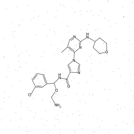 Cc1cnc(NC2CCOCC2)nc1-n1cnc(C(=O)NC(OCN)c2cccc(Cl)c2)c1